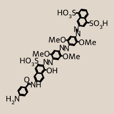 COc1cc(N=Nc2cc(OC)c(N=Nc3c(S(=O)(=O)O)cc4cc(NC(=O)c5ccc(N)cc5)ccc4c3O)cc2OC)c(OC)cc1N=Nc1cc(S(=O)(=O)O)c2cccc(S(=O)(=O)O)c2c1